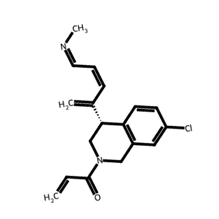 C=CC(=O)N1Cc2cc(Cl)ccc2[C@@H](C(=C)/C=C\C=N/C)C1